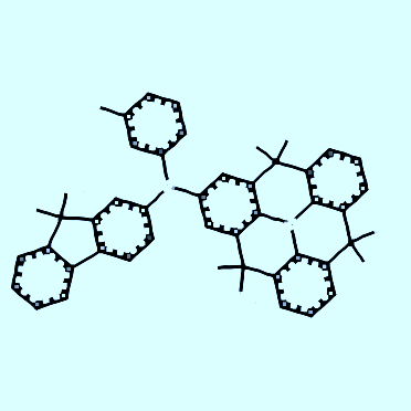 Cc1cccc(N(c2ccc3c(c2)C(C)(C)c2ccccc2-3)c2cc3c4c(c2)C(C)(C)c2cccc5c2N4c2c(cccc2C3(C)C)C5(C)C)c1